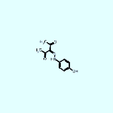 [CH2]C(=O)C(=NNc1ccc(O)cc1)C(C)=O